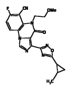 COCCn1c(=O)c2c(-c3noc(C4CC4C)n3)ncn2c2ccc(F)c(C#N)c21